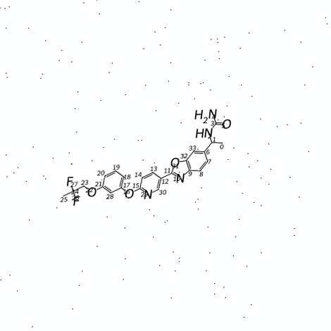 CC(NC(N)=O)c1ccc2nc(-c3ccc(Oc4cccc(OCC(C)(F)F)c4)nc3)oc2c1